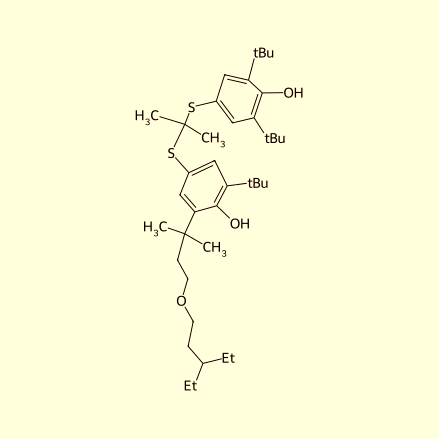 CCC(CC)CCOCCC(C)(C)c1cc(SC(C)(C)Sc2cc(C(C)(C)C)c(O)c(C(C)(C)C)c2)cc(C(C)(C)C)c1O